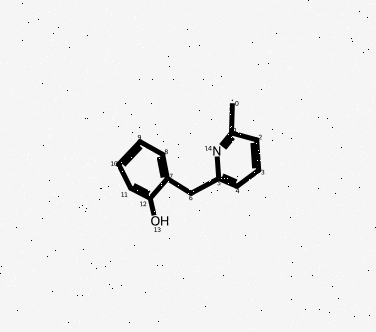 [CH2]c1cccc(Cc2ccccc2O)n1